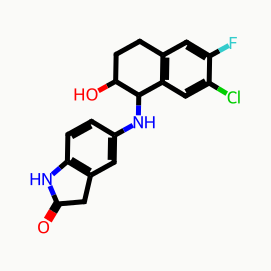 O=C1Cc2cc(NC3c4cc(Cl)c(F)cc4CCC3O)ccc2N1